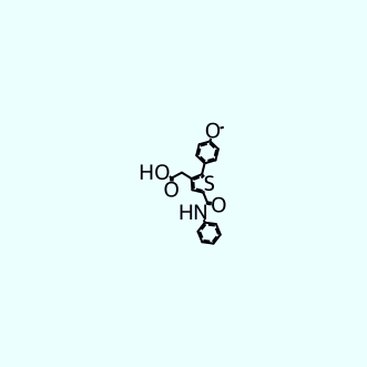 COc1ccc(-c2sc(C(=O)Nc3ccccc3)cc2CC(=O)O)cc1